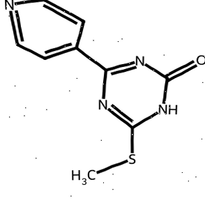 CSc1nc(-c2ccncc2)nc(=O)[nH]1